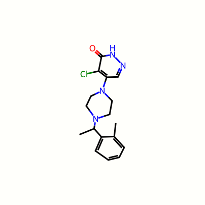 Cc1ccccc1C(C)N1CCN(c2cn[nH]c(=O)c2Cl)CC1